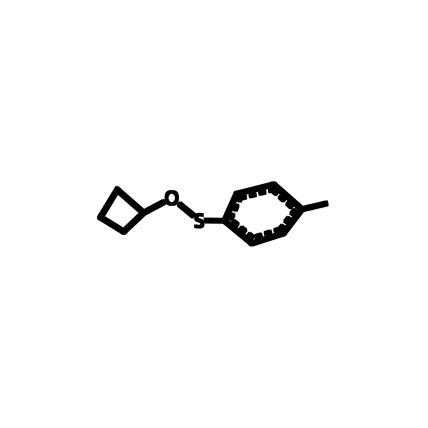 Cc1ccc(SOC2CCC2)cc1